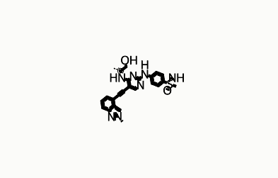 C[C@H](CO)Nc1nc(Nc2ccc(S(C)(=N)=O)cc2)ncc1C#Cc1cccc2nn(C)cc12